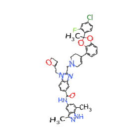 Cc1n[nH]c2c(C)cc(NC(=O)c3ccc4c(c3)nc(CN3CC=C(c5cccc6c5OC(C)(c5ccc(Cl)cc5F)O6)CC3)n4CC3CCO3)cc12